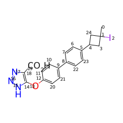 CC1(I)CC(c2ccc(-c3ccc(Oc4[nH]nnc4C(=O)O)cc3)cc2)C1